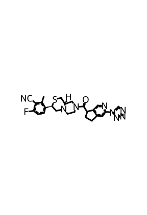 Cc1c([C@@H]2CN3CCN(C(=O)C4CCc5cc(-n6cnnn6)ncc54)C[C@H]3CS2)ccc(F)c1C#N